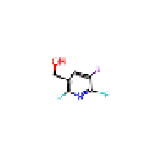 OCc1cc(I)c(F)nc1F